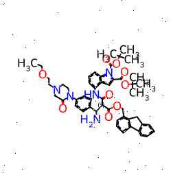 CCOCCN1CCN(c2ccc(C(N)[C@@H](C(=O)Nc3cccc4c3cc(C(=O)OC(C)(C)C)n4C(=O)OC(C)(C)C)C(=O)OCc3cccc4c3Cc3ccccc3-4)cc2)C(=O)C1